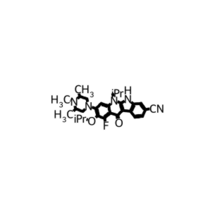 CC(C)Oc1c(N2CC(C)N(C)C(C)C2)cc2c(c1F)c(=O)c1c3ccc(C#N)cc3[nH]c1n2C(C)C